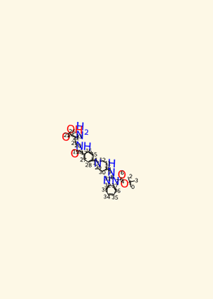 CC(C)(C)OC(=O)n1c(NC2CCN(c3ccc(C(=O)NC[C@H](N)C(=O)O)cc3)CC2)nc2ccccc21